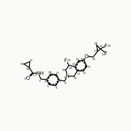 O=C(NCc1ccc(CN2Cc3ccc(OCC4CC4(F)F)cc3C(F)C2)cc1)C1CC1